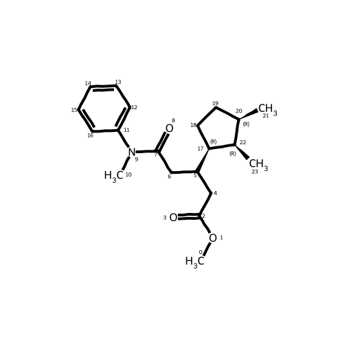 COC(=O)CC(CC(=O)N(C)c1ccccc1)[C@H]1CC[C@@H](C)[C@H]1C